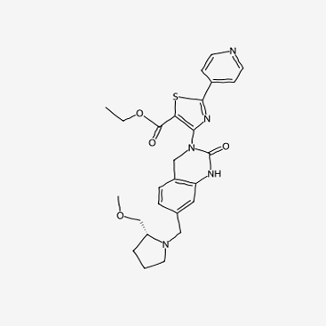 CCOC(=O)c1sc(-c2ccncc2)nc1N1Cc2ccc(CN3CCC[C@@H]3COC)cc2NC1=O